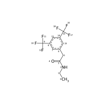 CCNC(=O)Cc1cc(C(F)(F)F)cc(C(F)(F)F)c1